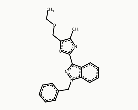 CCOCc1oc(-c2nn(Cc3ccccc3)c3ccccc23)nc1C